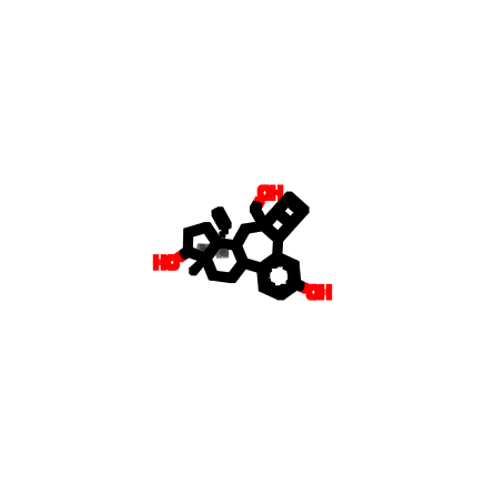 C=C[C@@]12CCC(O)[C@@]1(C)CCC1c3ccc(O)cc3C3C4C=CC4C3(CO)CC12